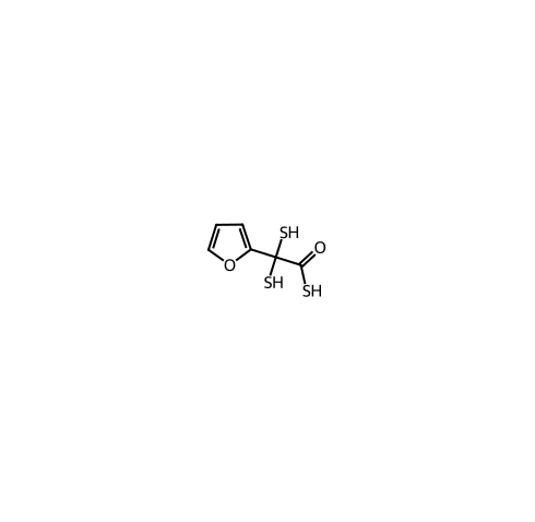 O=C(S)C(S)(S)c1ccco1